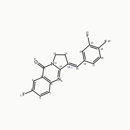 O=c1c2cc(F)ccc2nc2n1CC/C2=C\c1ccc(F)c(F)c1